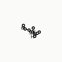 C1=CC2Oc3ccc(-c4ccc5c6c(sc5c4)NC(n4c5ccccc5c5cc7ccccc7cc54)N=C6c4ccccc4)cc3C2C=C1